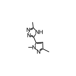 Cc1cc(-c2nnc(C)[nH]2)n(C)n1